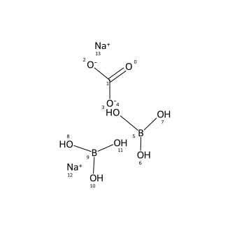 O=C([O-])[O-].OB(O)O.OB(O)O.[Na+].[Na+]